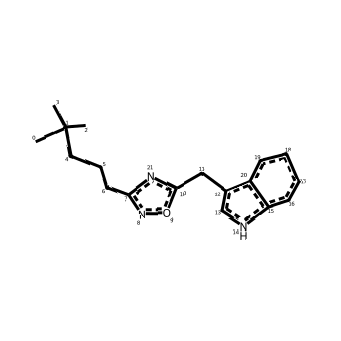 CC(C)(C)CCCc1noc(Cc2c[nH]c3ccccc23)n1